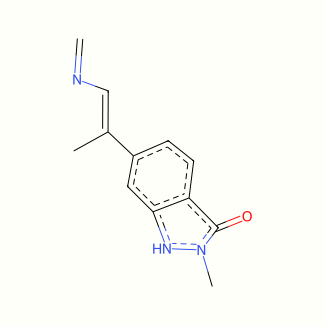 C=N/C=C(\C)c1ccc2c(=O)n(C)[nH]c2c1